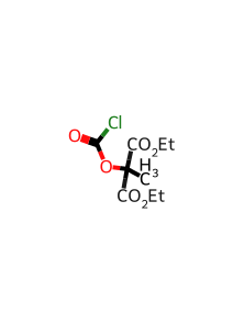 CCOC(=O)C(C)(OC(=O)Cl)C(=O)OCC